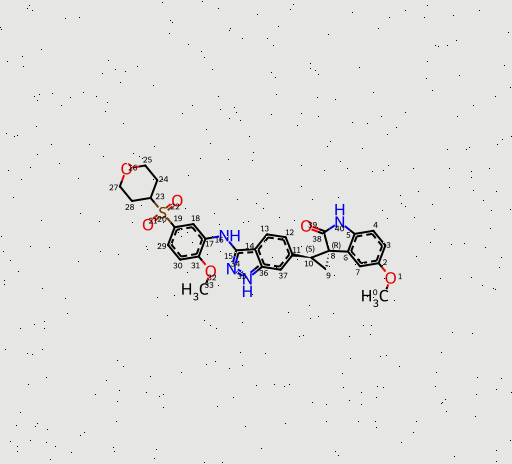 COc1ccc2c(c1)[C@]1(C[C@H]1c1ccc3c(Nc4cc(S(=O)(=O)C5CCOCC5)ccc4OC)n[nH]c3c1)C(=O)N2